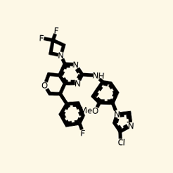 COc1cc(Nc2nc3c(c(N4CC(F)(F)C4)n2)COCC3c2ccc(F)cc2)ccc1-n1cnc(Cl)c1